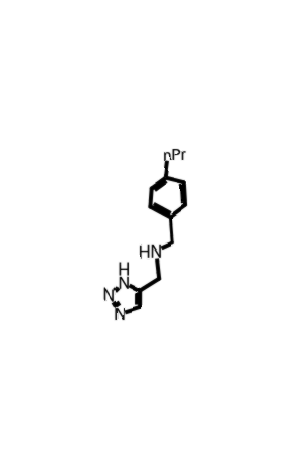 CCCc1ccc(CNCc2cnn[nH]2)cc1